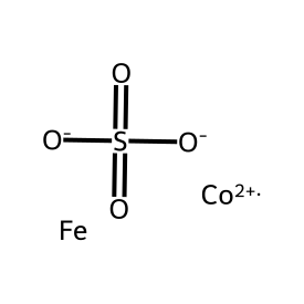 O=S(=O)([O-])[O-].[Co+2].[Fe]